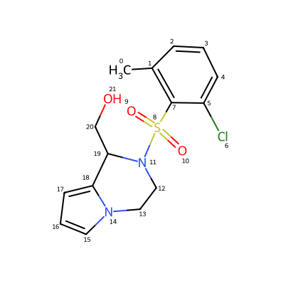 Cc1cccc(Cl)c1S(=O)(=O)N1CCn2cccc2C1CO